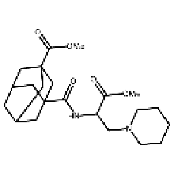 COC(=O)C(CN1CCCCC1)NC(=O)C12CC3CC(C1)CC(C(=O)OC)(C3)C2